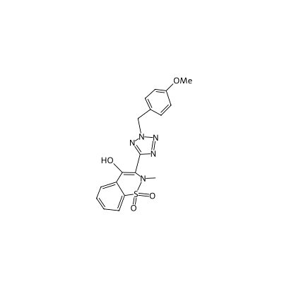 COc1ccc(Cn2nnc(C3=C(O)c4ccccc4S(=O)(=O)N3C)n2)cc1